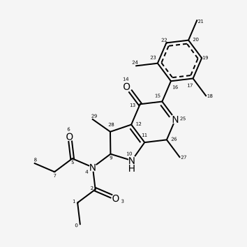 CCC(=O)N(C(=O)CC)C1NC2=C(C(=O)C(c3c(C)cc(C)cc3C)=NC2C)C1C